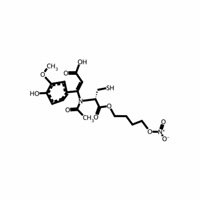 COc1cc(/C(=C\C(=O)O)N(C(C)=O)[C@H](CS)C(=O)OCCCCO[N+](=O)[O-])ccc1O